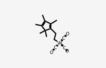 CC1=C(C)C(C)(C)C(C[CH2][W](=[C]=O)(=[C]=O)=[C]=O)=C1C